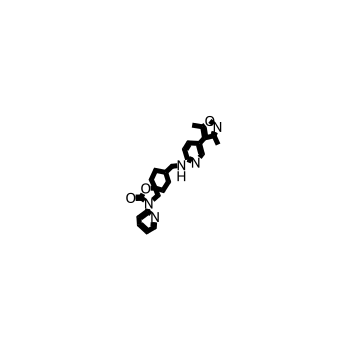 Cc1noc(C)c1-c1ccc(NCC2CCC3(CC2)CN(c2ccccn2)C(=O)O3)nc1